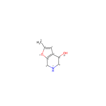 Cc1cc2c(o1)CNCC2O